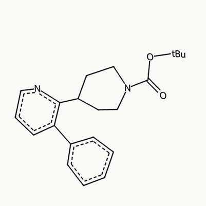 CC(C)(C)OC(=O)N1CCC(c2ncccc2-c2ccccc2)CC1